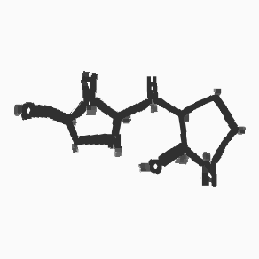 O=C1C=NC(NC2CCNC2=O)N1